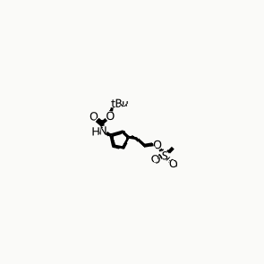 CC(C)(C)OC(=O)NC1CCC(CCOS(C)(=O)=O)C1